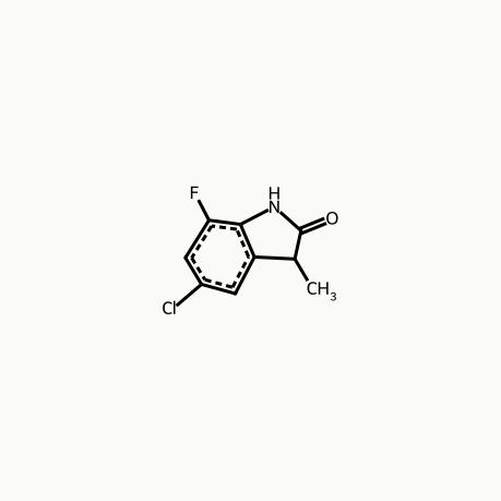 CC1C(=O)Nc2c(F)cc(Cl)cc21